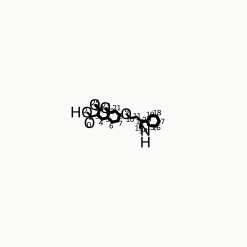 O=C(O)c1cc2ccc(OCCc3c[nH]c4ccccc34)cc2oc1=O